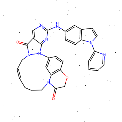 O=C1COc2ccc3cc2N1CCC/C=C\Cn1c(=O)c2cnc(Nc4ccc5c(ccn5-c5ccccn5)c4)nc2n1-3